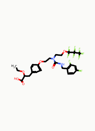 CCOC(Cc1ccc(OCCN(CCOC(F)(F)C(F)(F)C(F)(F)F)C(=O)NCc2ccc(F)cc2F)cc1)C(=O)O